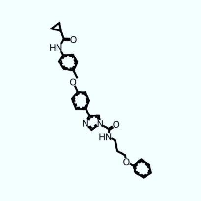 O=C(Nc1ccc(COc2ccc(-c3cn(C(=O)NCCCOc4ccccc4)cn3)cc2)cc1)C1CC1